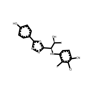 N#Cc1ccc(N[C@@H](c2nnc(-c3ccc(O)cc3)o2)[C@@H](O)I)c(I)c1Cl